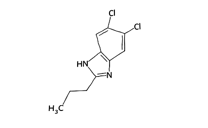 CCCc1nc2cc(Cl)c(Cl)cc2[nH]1